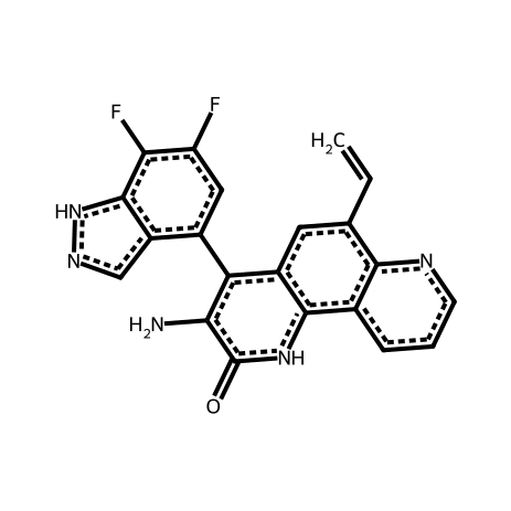 C=Cc1cc2c(-c3cc(F)c(F)c4[nH]ncc34)c(N)c(=O)[nH]c2c2cccnc12